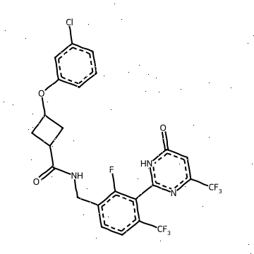 O=C(NCc1ccc(C(F)(F)F)c(-c2nc(C(F)(F)F)cc(=O)[nH]2)c1F)C1CC(Oc2cccc(Cl)c2)C1